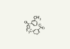 Cc1cccc(C(=O)Cl)c1.O=C(Cl)c1cccc(C(F)(F)F)c1